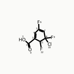 O=C(O)C1=CC(F)=CC(F)(Cl)C1F